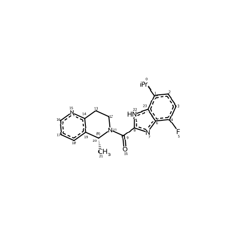 CC(C)c1ccc(F)c2nc(C(=O)N3CCc4ncccc4[C@H]3C)[nH]c12